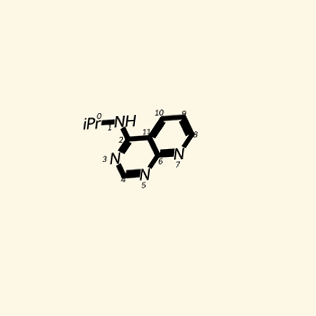 CC(C)Nc1ncnc2ncccc12